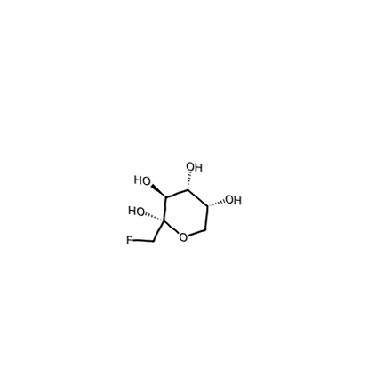 O[C@@H]1[C@H](O)CO[C@@](O)(CF)[C@H]1O